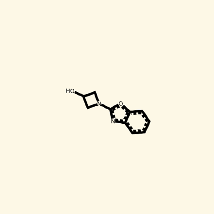 OC1CN(c2nc3ccccc3o2)C1